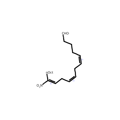 CCCCCCCC/C(=C\C/C=C\C/C=C\CCC[C]=O)[N+](=O)[O-]